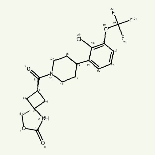 O=C1N[C@]2(CO1)C[C@H](C(=O)N1CCC(c3cccc(OC(F)(F)F)c3Cl)CC1)C2